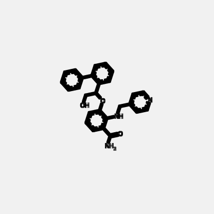 NC(=O)c1cccc(OC(CO)c2ccccc2-c2ccccc2)c1NCc1ccncc1